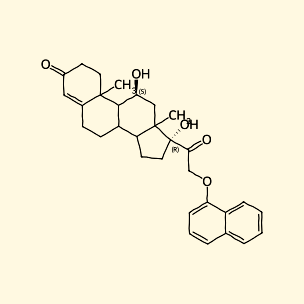 CC12CCC(=O)C=C1CCC1C2[C@@H](O)CC2(C)C1CC[C@]2(O)C(=O)COc1cccc2ccccc12